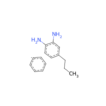 CCCc1ccc(N)c(N)c1.[c]1ccccc1